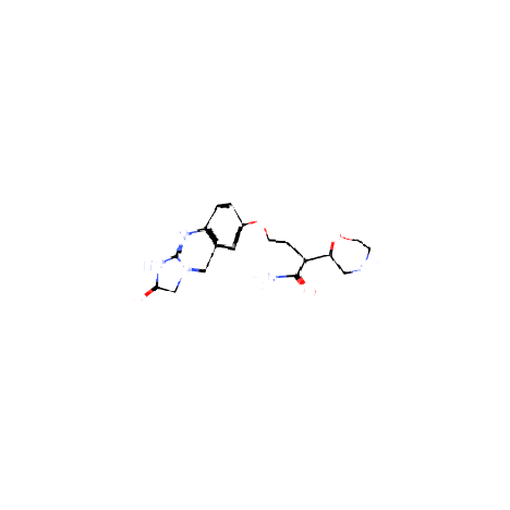 NC(=O)C(CCOc1ccc2c(c1)CN1CC(=O)NC1=N2)C1CNCCO1